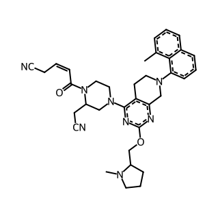 Cc1cccc2cccc(N3CCc4c(nc(OCC5CCCN5C)nc4N4CCN(C(=O)/C=C\CC#N)C(CC#N)C4)C3)c12